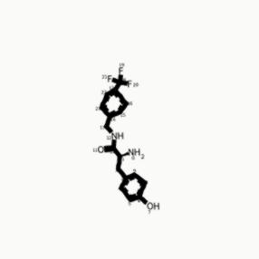 N[C@@H](Cc1ccc(O)cc1)C(=O)NCc1ccc(C(F)(F)F)cc1